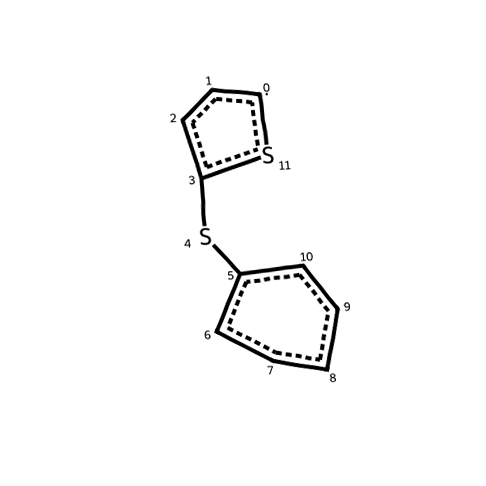 [c]1ccc(Sc2ccccc2)s1